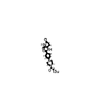 CC(C)(C)OC(=O)N1CCN(c2ccc(C(=O)NC3CCC(=O)NC3=O)cc2)CC1